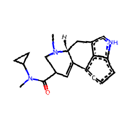 CN(C(=O)C1C=C2c3cccc4[nH]cc(c34)C[C@H]2N(C)C1)C1CC1